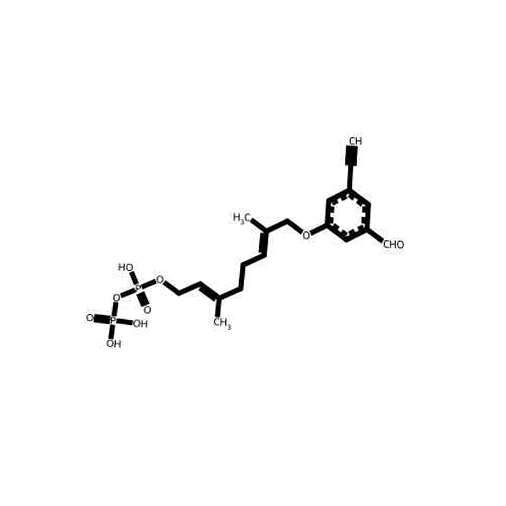 C#Cc1cc(C=O)cc(OCC(C)=CCCC(C)=CCOP(=O)(O)OP(=O)(O)O)c1